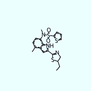 CCC1CN=C(c2cc3c(C)ccc(N(C)S(=O)(=O)c4cccs4)c3[nH]2)S1